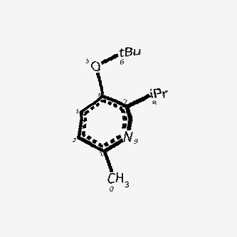 Cc1ccc(OC(C)(C)C)c(C(C)C)n1